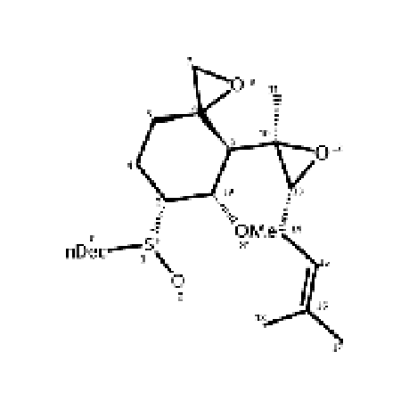 CCCCCCCCCC[S+]([O-])[C@@H]1CC[C@]2(CO2)[C@@H]([C@@]2(C)O[C@@H]2CC=C(C)C)[C@@H]1OC